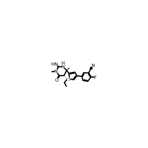 CCC[C@@H]1C(=O)N(C)C(=N)N[C@]1(C)c1cc(-c2ccc(F)c(C#N)c2)cs1